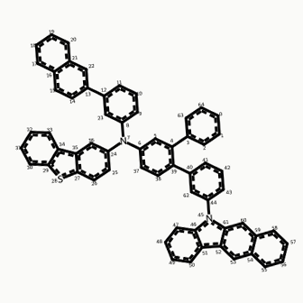 c1ccc(-c2cc(N(c3cccc(-c4ccc5ccccc5c4)c3)c3ccc4sc5ccccc5c4c3)ccc2-c2cccc(-n3c4ccccc4c4cc5ccccc5cc43)c2)cc1